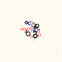 COc1cc(F)c(OC2CCC(C)(C(=O)O)CC2)cc1C(=O)N[C@H]1[C@@H](C(=O)NCC2(C)CCC2)[C@H]2CC[C@@H]1/C2=C\C1CC1